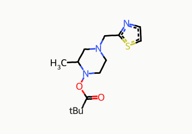 CC1CN(Cc2nccs2)CCN1OC(=O)C(C)(C)C